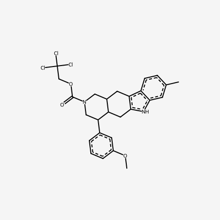 COc1cccc(C2CN(C(=O)OCC(Cl)(Cl)Cl)CC3Cc4c([nH]c5cc(C)ccc45)CC32)c1